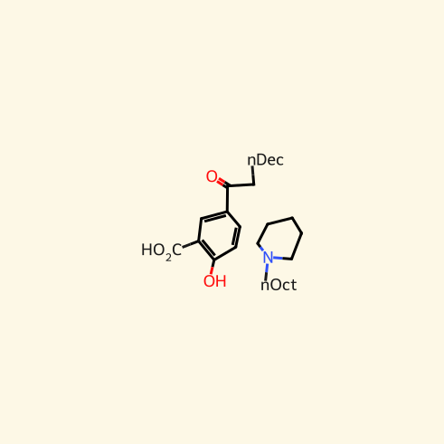 CCCCCCCCCCCC(=O)c1ccc(O)c(C(=O)O)c1.CCCCCCCCN1CCCCC1